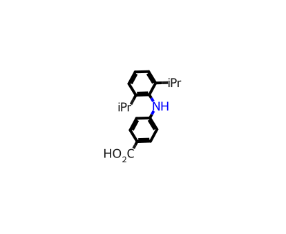 CC(C)c1cccc(C(C)C)c1Nc1ccc(C(=O)O)cc1